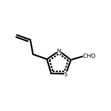 C=CCc1csc(C=O)n1